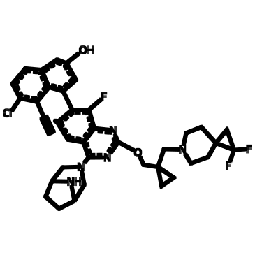 C#Cc1c(Cl)ccc2cc(O)cc(-c3c(C)cc4c(N5CC6CCC(C5)N6)nc(OCC5(CN6CCC7(CC6)CC7(F)F)CC5)nc4c3F)c12